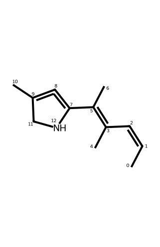 C/C=C\C(C)=C(/C)C1=C=C(C)CN1